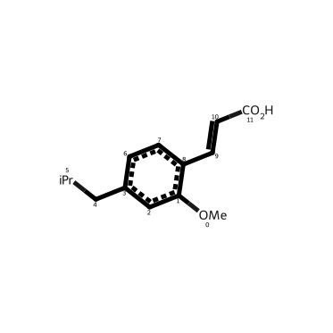 COc1cc(CC(C)C)ccc1C=CC(=O)O